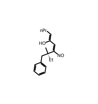 CCC/C=C(O)/C=C(/N=O)[C@@](C)(CC)Cc1ccccc1